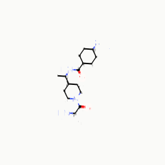 CC(NC(=O)C1CCC(N)CC1)C1CCN(C(=O)[C@H](C)N)CC1